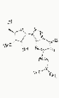 CO[C@H]1[C@@H](O)[C@H](c2scc3c(=O)[nH]c(/N=C/N(C)C)nc23)O[C@@H]1CO